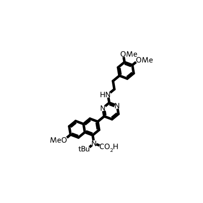 COc1ccc2cc(-c3ccnc(NCCc4ccc(OC)c(OC)c4)n3)cc(N(C(=O)O)C(C)(C)C)c2c1